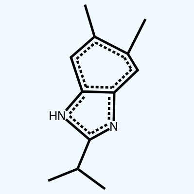 Cc1cc2nc(C(C)C)[nH]c2cc1C